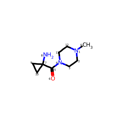 CN1CCN(C(=O)C2(N)CC2)CC1